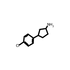 NC1[CH]C(c2ccc(Cl)cc2)CC1